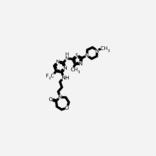 Cc1nc(N2CCN(C)CC2)sc1Nc1ncc(C(F)(F)F)c(NCCCN2CCOCCC2=O)n1